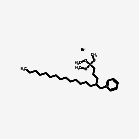 CCCCCCCCCCCCCCC(CCC[Si](OC)(OC)OC)C[n+]1ccccc1.[Br-]